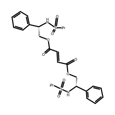 CC(C)S(=O)(=O)N[C@H](COC(=O)/C=C/C(=O)OC[C@@H](NS(=O)(=O)C(C)C)c1ccccc1)c1ccccc1